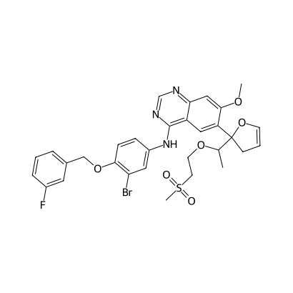 COc1cc2ncnc(Nc3ccc(OCc4cccc(F)c4)c(Br)c3)c2cc1C1(C(C)OCCS(C)(=O)=O)CC=CO1